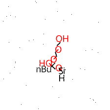 CCCCC(O)(COCCOCCO)CO[SiH](C)C